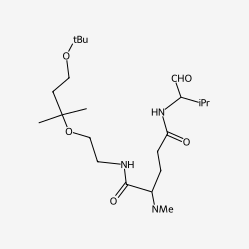 CNC(CCC(=O)NC(C=O)C(C)C)C(=O)NCCOC(C)(C)CCOC(C)(C)C